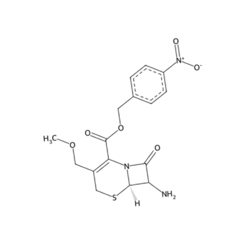 COCC1=C(C(=O)OCc2ccc([N+](=O)[O-])cc2)N2C(=O)C(N)[C@H]2SC1